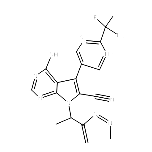 C=C(/N=N\C)C(C)n1c(C#N)c(-c2cnc(C(F)(F)F)nc2)c2c(N)ncnc21